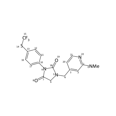 CNc1cc(CN2CC(=O)N(c3ccc(SC(F)(F)F)cc3)C2=O)ccn1